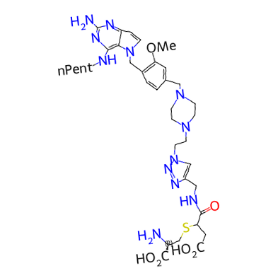 CCCCCNc1nc(N)nc2ccn(Cc3ccc(CN4CCN(CCn5cc(CNC(=O)C(CC(=O)O)SC[C@H](N)C(=O)O)nn5)CC4)cc3OC)c12